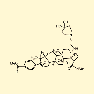 CNC(=O)[C@@H]1CC[C@]2(NCCN3CCS(O)(O)CC3)CC[C@]3(C)[C@H](CC[C@@H]4[C@@]5(C)CC=C(c6ccc(C(=O)OC)cc6)C(C)(C)[C@@H]5CC[C@]43C)[C@@H]12